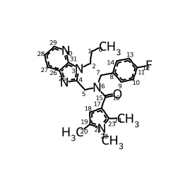 CCCn1c(CN(Cc2ccc(F)cc2)C(=O)c2cc(C)n(C)c2C)nc2cccnc21